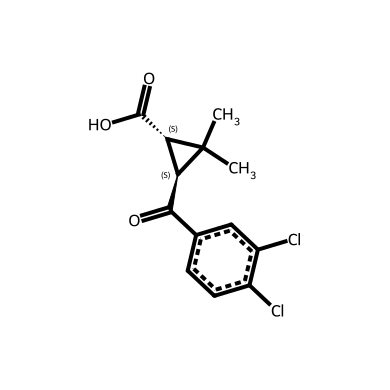 CC1(C)[C@@H](C(=O)O)[C@@H]1C(=O)c1ccc(Cl)c(Cl)c1